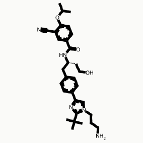 CC(C)Oc1ccc(C(=O)N[C@H](CCO)Cc2ccc(-c3cn(CCCN)c(C(C)(C)C)n3)cc2)cc1C#N